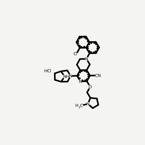 CN1CCCC1COc1nc(N2CC3CCC(C2)N3)c2c(c1C#N)CN(c1cccc3cccc(Cl)c13)CC2.Cl